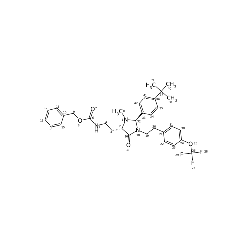 CN1[C@@H](CCNC(=O)OCc2ccccc2)C(=O)N(CCc2ccc(OC(F)(F)F)cc2)[C@@H]1c1ccc(C(C)(C)C)cc1